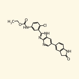 CCOC(=O)Nc1ccc(Cl)c(-c2nc3ncc(-c4ccc5c(c4)CC(=O)N5)cc3[nH]2)c1